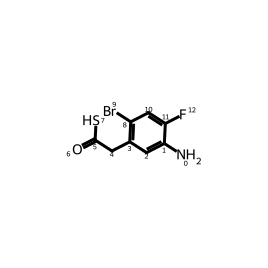 Nc1cc(CC(=O)S)c(Br)cc1F